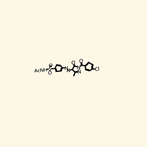 CC(=O)NS(=O)(=O)c1ccc(/N=N/C2C(=O)N(C(=O)c3ccc(Cl)cc3)N=C2C)cc1